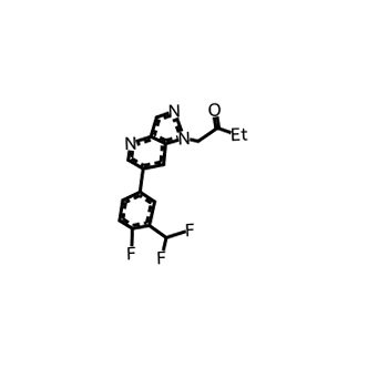 CCC(=O)Cn1ncc2ncc(-c3ccc(F)c(C(F)F)c3)cc21